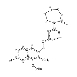 CCCCOc1c(C)c(COc2cccc(N3CCOCCC3=O)c2)nc2ccc(F)cc12